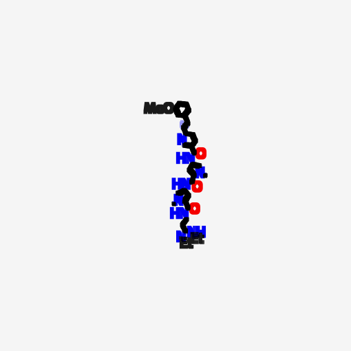 CC/N=C(/CCNC(=O)c1cc(NC(=O)c2cc(NC(=O)c3ccc(/C=C/c4cccc(OC)c4)nc3)cn2C)cn1C)NCC